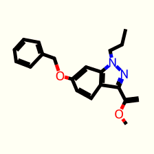 C=C(OC)c1nn(CCC)c2cc(OCc3ccccc3)ccc12